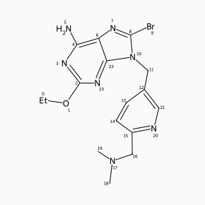 CCOc1nc(N)c2nc(Br)n(Cc3ccc(CN(C)C)nc3)c2n1